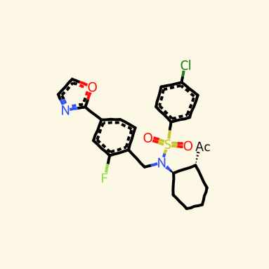 CC(=O)[C@@H]1CCCC[C@H]1N(Cc1ccc(-c2ncco2)cc1F)S(=O)(=O)c1ccc(Cl)cc1